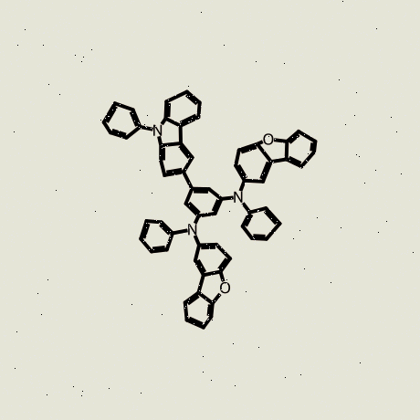 c1ccc(N(c2cc(-c3ccc4c(c3)c3ccccc3n4-c3ccccc3)cc(N(c3ccccc3)c3ccc4oc5ccccc5c4c3)c2)c2ccc3oc4ccccc4c3c2)cc1